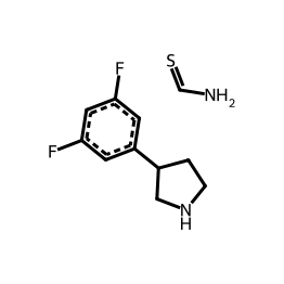 Fc1cc(F)cc(C2CCNC2)c1.NC=S